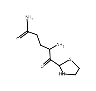 NC(=O)CCC(N)C(=O)C1NCCS1